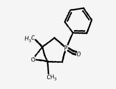 CC12CP(=O)(c3ccccc3)CC1(C)O2